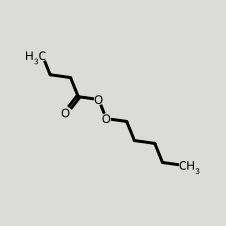 CCCCCOOC(=O)CCC